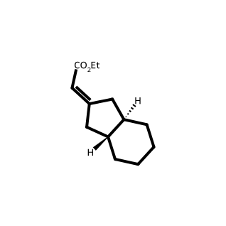 CCOC(=O)C=C1C[C@H]2CCCC[C@@H]2C1